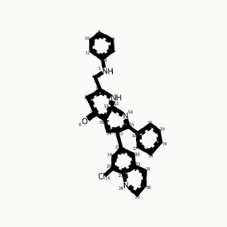 O=c1cc(CNc2ccccc2)[nH]c2nc(-c3ccccc3)c(-c3cc(Cl)c4ncccc4c3)cc12